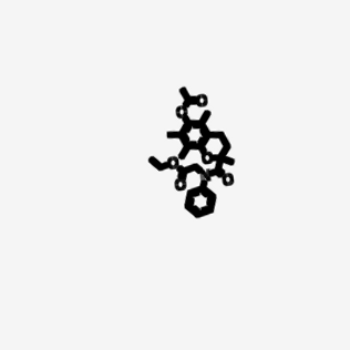 CCOC(=O)CN(C(=O)C1(C)CCc2c(C)c(OC(C)=O)c(C)c(C)c2O1)c1ccccc1